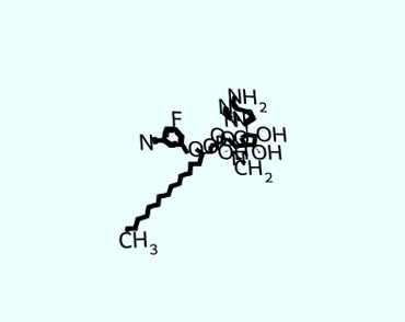 C=NC[C@]1(COP(=O)(O)OC[C@@H](CCCCCCCCCCCCCCC)OCc2cc(F)cc(C#N)c2)O[C@@H](c2ccc3c(N)ncnn23)[C@H](O)[C@@H]1O